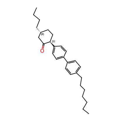 CCCCCCCc1ccc(-c2ccc([C@@H]3CC[C@@H](CCCC)CC3=O)cc2)cc1